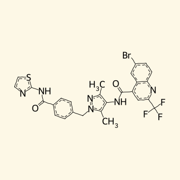 Cc1nn(Cc2ccc(C(=O)Nc3nccs3)cc2)c(C)c1NC(=O)c1cc(C(F)(F)F)nc2ccc(Br)cc12